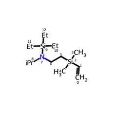 C=C[Si](C)(C)CCN(C(C)C)[Si](CC)(CC)CC